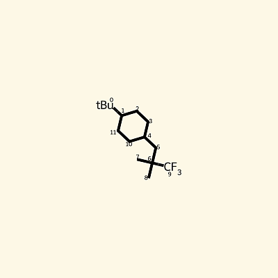 CC(C)(C)C1CCC(CC(C)(C)C(F)(F)F)CC1